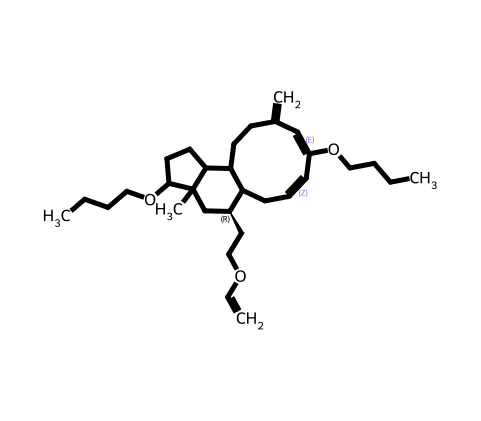 C=COCC[C@H]1CC2(C)C(OCCCC)CCC2C2CCC(=C)/C=C(OCCCC)\C=C/CC21